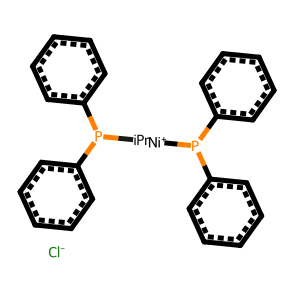 CC(C)P(c1ccccc1)c1ccccc1.[Cl-].[Ni+][P](c1ccccc1)c1ccccc1